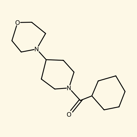 O=C(C1CCCCC1)N1CCC(N2CCOCC2)CC1